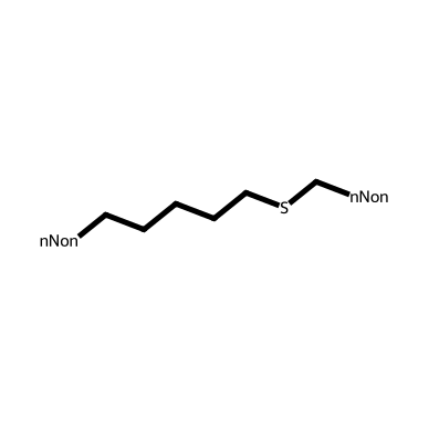 CCCCCCCCCCCCCCSCCCCCCCCCC